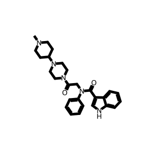 CN1CCC(N2CCN(C(=O)CN(C(=O)c3c[nH]c4ccccc34)c3ccccc3)CC2)CC1